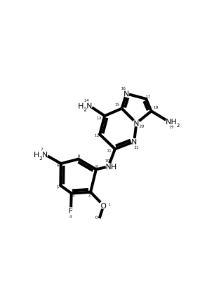 COc1c(F)cc(N)cc1Nc1cc(N)c2ncc(N)n2n1